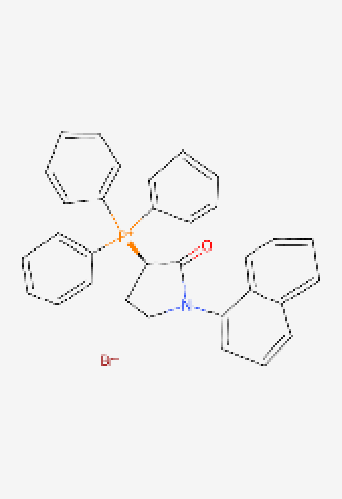 O=C1[C@H]([P+](c2ccccc2)(c2ccccc2)c2ccccc2)CCN1c1cccc2ccccc12.[Br-]